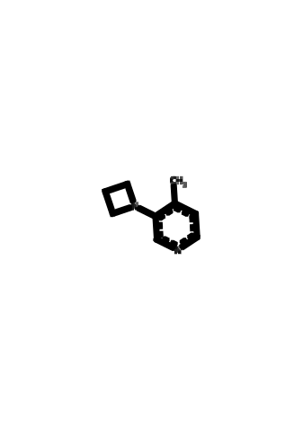 Cc1ccn[c]c1N1CCC1